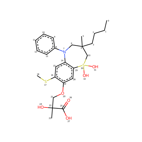 CCCCC1(C)CN(c2ccccc2)c2cc(SC)c(OCC(C)(O)C(=O)O)cc2S(O)(O)C1